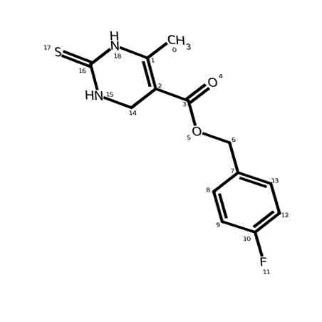 CC1=C(C(=O)OCc2ccc(F)cc2)CNC(=S)N1